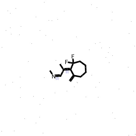 C=C1CCCCC(F)(F)/C1=C(C)/C=N\C